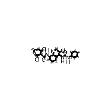 O=C(Nc1ccccc1)Nc1c(Cl)cnc2c(NC(=O)c3c(Cl)ccnc3Cl)cccc12